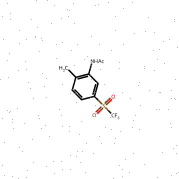 CC(=O)Nc1cc(S(=O)(=O)C(F)(F)F)ccc1C